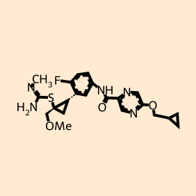 C/N=C(/N)S[C@@]1(COC)C[C@H]1c1cc(NC(=O)c2cnc(OCC3CC3)cn2)ccc1F